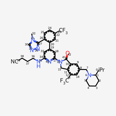 CC(C)C1CCCCN1Cc1cc2c(c(C(F)(F)F)c1)CN(c1cc(-c3cc(C(F)(F)F)ccc3-c3nncn3C)cc(NCCCC#N)n1)C2=O